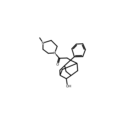 CN1CCN(C(=O)CC2(c3ccccc3)C3CC4CC2CC(C3)C4O)CC1